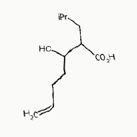 C=CCCC(O)C(CC(C)C)C(=O)O